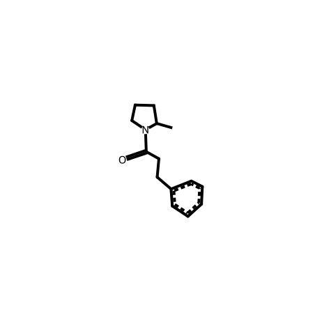 CC1CCCN1C(=O)CCc1ccccc1